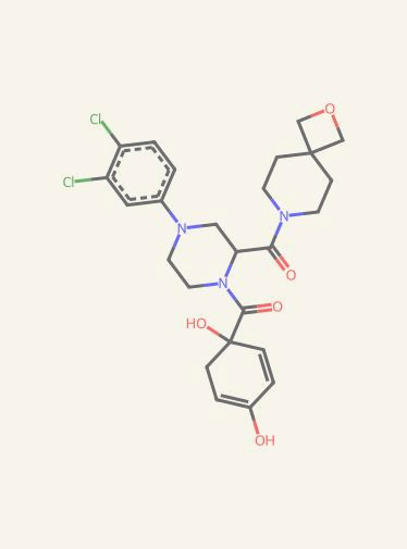 O=C(C1CN(c2ccc(Cl)c(Cl)c2)CCN1C(=O)C1(O)C=CC(O)=CC1)N1CCC2(CC1)COC2